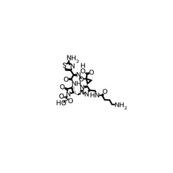 NCCCC(=O)NCc1cnn(C[C@H]2[C@H](NC(=O)C(=NOC3(C(=O)O)CC3)c3csc(N)n3)C(=O)N2S(=O)(=O)O)n1